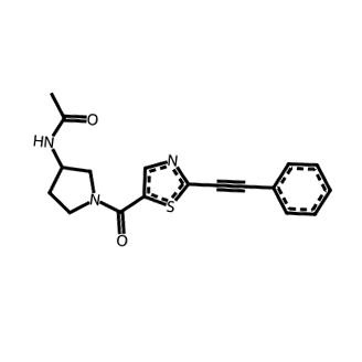 CC(=O)NC1CCN(C(=O)c2cnc(C#Cc3ccccc3)s2)C1